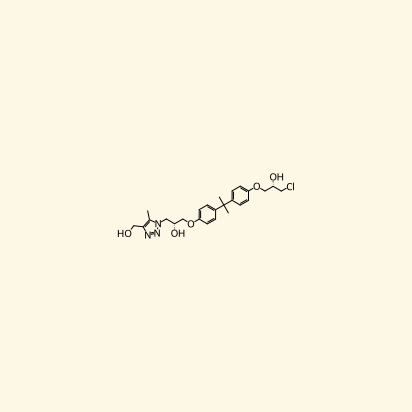 Cc1c(CO)nnn1C[C@@H](O)COc1ccc(C(C)(C)c2ccc(OC[C@H](O)CCl)cc2)cc1